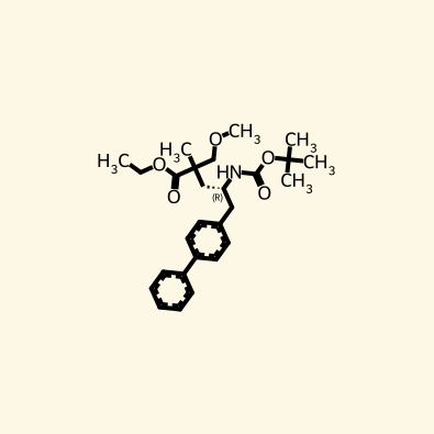 CCOC(=O)C(C)(COC)C[C@@H](Cc1ccc(-c2ccccc2)cc1)NC(=O)OC(C)(C)C